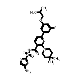 CC(C)COc1cc(F)cc(-c2ccc(C(=O)NS(=O)(=O)c3nc(N)cs3)c(N3CCC(C)(C)CC3)n2)c1